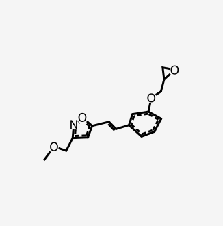 COCc1cc(C=Cc2cccc(OCC3CO3)c2)on1